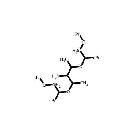 CCCC(OC(C)C(N)C(C)OC(CCC)[SiH2]OC(C)C)[SiH2]OC(C)C